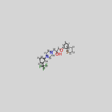 OC(COc1cccc2c1SCCC2)CN1CCN(c2cccc(C(F)(F)F)c2)CC1